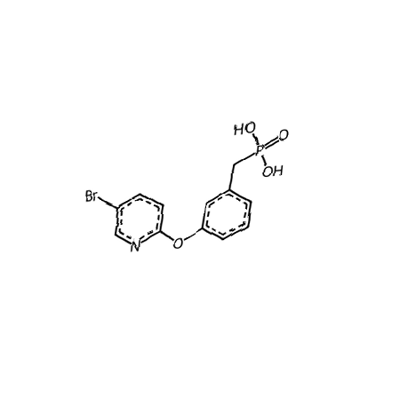 O=P(O)(O)Cc1cccc(Oc2ccc(Br)cn2)c1